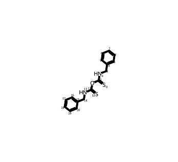 S=C(NCc1ccccc1)OC(=S)NCc1ccccc1